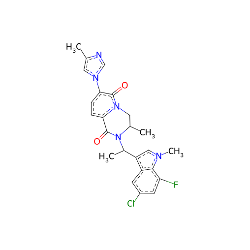 Cc1cn(-c2ccc3n(c2=O)CC(C)N(C(C)c2cn(C)c4c(F)cc(Cl)cc24)C3=O)cn1